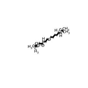 CC(C)(C)NCCCCCOCCNC(=O)COC(C)(C)C